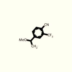 [CH2]C(OC)c1ccc(C#N)c(C(F)(F)F)c1